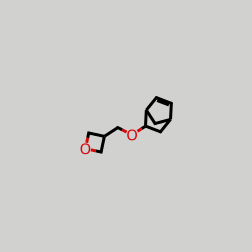 C1=CC2CC1CC2OCC1COC1